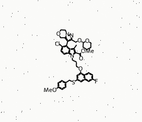 COC(=O)c1c(C)c2c(-c3c(COC4CCCCO4)nn4c3COCC4)c(Cl)ccc2n1CCCOc1cc(SCc2ccc(OC)cc2)cc2cc(F)ccc12